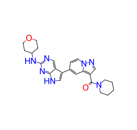 O=C(c1cnn2ccc(-c3c[nH]c4nc(NC5CCOCC5)ncc34)cc12)N1CCCCC1